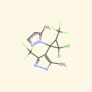 CC1=C(C2(n3nccc3C)C(C(F)(F)F)C2(Cl)Cl)C(C(F)(F)F)=N[N]1